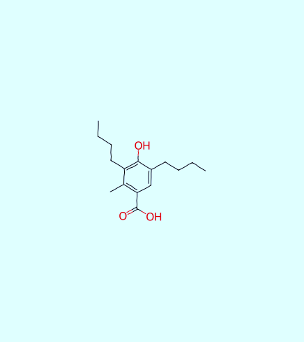 CCCCc1cc(C(=O)O)c(C)c(CCCC)c1O